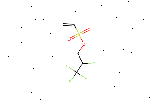 C=CS(=O)(=O)OCC(F)C(F)(F)F